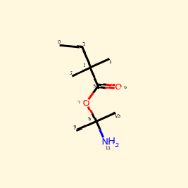 CCC(C)(C)C(=O)OC(C)(C)N